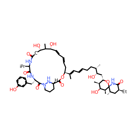 CC[C@H]1C[C@H](C)[C@@]2(NC1=O)O[C@@H](C[C@H](O)[C@@H](C)CC/C=C/C=C(\C)[C@@H]1C/C=C/C=C/[C@@H](O)C(C)[C@@H](O)CC(=O)NC(C(C)C)C(=O)N[C@@H](Cc3cccc(O)c3)C(=O)N3CCC[C@H](N3)C(=O)O1)[C@H](C)[C@H](O)[C@@H]2C